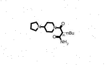 CCCC[C@H](C(N)=O)C(=O)N1CCC(N2CCCC2)CC1